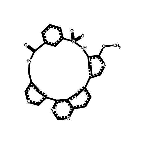 COc1ncc2cc1NS(=O)(=O)c1cccc(c1)C(=O)NCc1cncc(c1)-c1ncnc3ccc-2cc13